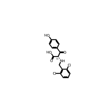 O=C(O)[C@@H](NCc1c(Cl)cccc1Cl)C(=O)c1ccc(O)cc1